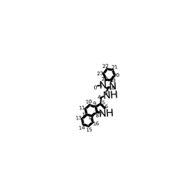 Cn1c(NCc2c[nH]c3c2ccc2ccccc23)nc2ccccc21